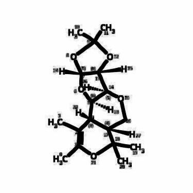 CC1=C(C)[C@@H]2[C@H]3O[C@@H]4OC(C)(C)O[C@@H]4[C@H]3OC[C@@H]2C(C)(C)O1